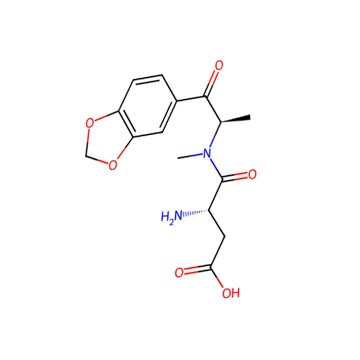 C[C@H](C(=O)c1ccc2c(c1)OCO2)N(C)C(=O)[C@@H](N)CC(=O)O